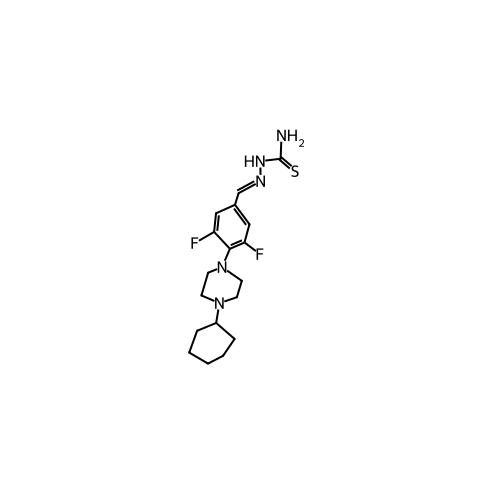 NC(=S)N/N=C/c1cc(F)c(N2CCN(C3CCCCC3)CC2)c(F)c1